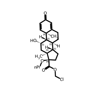 CCCO[C@]1(C(=O)OCCl)CC[C@H]2[C@@H]3CCC4=CC(=O)C=C[C@]4(C)[C@H]3[C@@H](O)C[C@@]21C